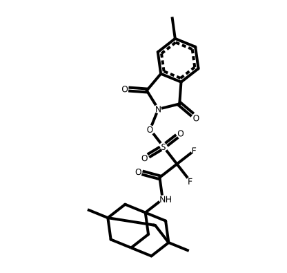 Cc1ccc2c(c1)C(=O)N(OS(=O)(=O)C(F)(F)C(=O)NC13CC4CC(C)(CC(C)(C4)C1)C3)C2=O